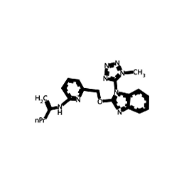 C=C(CCC)Nc1cccc(COc2nc3ccccc3n2-c2nnnn2C)n1